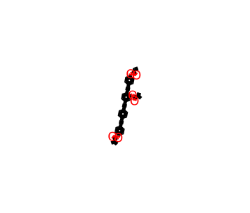 C=CC(=O)Oc1ccc(C#Cc2ccc(C#Cc3ccc(C#Cc4ccc(OC(=O)C(=C)C)cc4)cc3)cc2OC(=O)C(=C)C)cc1